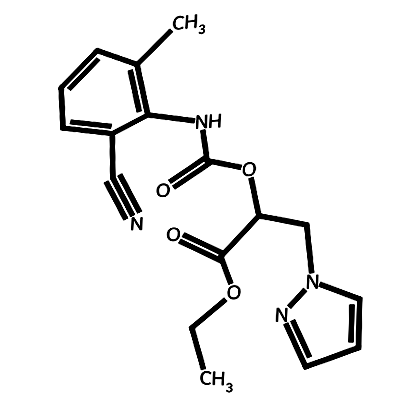 CCOC(=O)C(Cn1cccn1)OC(=O)Nc1c(C)cccc1C#N